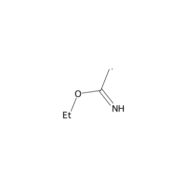 [CH2]C(=N)OCC